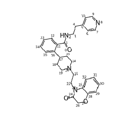 O=C(NCCc1ccncc1)c1ccccc1C1CCN(CCN2C(=O)COc3ccccc32)CC1